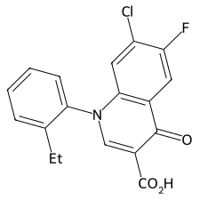 CCc1ccccc1-n1cc(C(=O)O)c(=O)c2cc(F)c(Cl)cc21